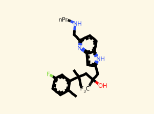 CCCNCc1ccc2[nH]c(CC(O)(CC(C)(C)c3cc(F)ccc3C)C(F)(F)F)cc2n1